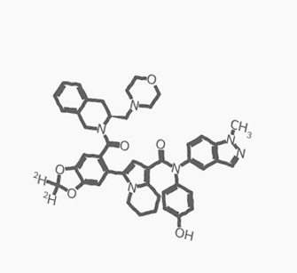 [2H]C1([2H])Oc2cc(C(=O)N3Cc4ccccc4C[C@H]3CN3CCOCC3)c(-c3cc(C(=O)N(c4ccc(O)cc4)c4ccc5c(cnn5C)c4)c4n3CCCC4)cc2O1